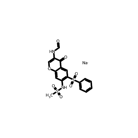 CS(=O)(=O)Nc1cc2occ(NC=O)c(=O)c2cc1S(=O)(=O)c1ccccc1.[Na]